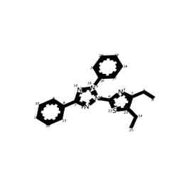 CCc1nc(-n2nc(-c3ccccc3)n[n+]2-c2ccccc2)sc1CC